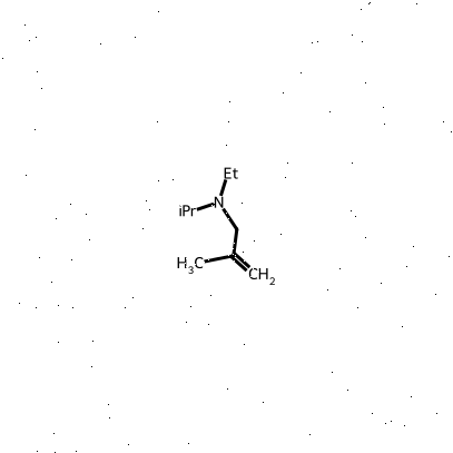 C=C(C)CN(CC)C(C)C